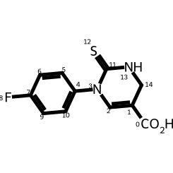 O=C(O)C1=CN(c2ccc(F)cc2)C(=S)NC1